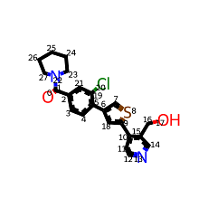 O=C(c1ccc(-c2csc(-c3ccncc3CO)c2)c(Cl)c1)N1CCCCC1